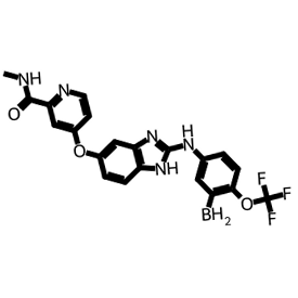 Bc1cc(Nc2nc3cc(Oc4ccnc(C(=O)NC)c4)ccc3[nH]2)ccc1OC(F)(F)F